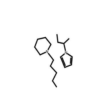 CCC(C)n1cccc1.CCCCCN1CCCCC1